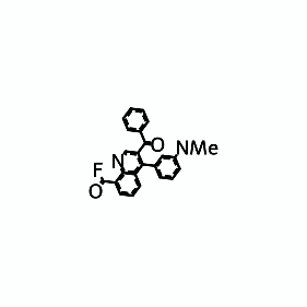 CNc1cccc(-c2c(C(=O)c3ccccc3)cnc3c(C(=O)F)cccc23)c1